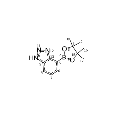 CC1(C)OB(c2cccc3[nH]nnc23)OC1(C)C